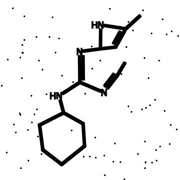 C/C=N\C(=N/C1C=C(C)N1)NC1CCCCC1